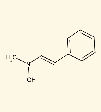 CN(O)C=Cc1ccccc1